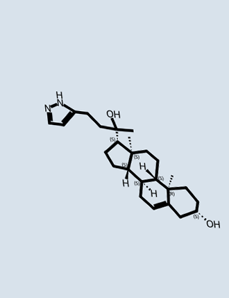 CC(O)(CCc1ccn[nH]1)[C@H]1CC[C@H]2[C@@H]3CC=C4C[C@@H](O)CC[C@]4(C)[C@H]3CC[C@]12C